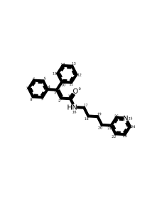 O=C(C=C(c1ccccc1)c1ccccc1)NCCCCc1cccnc1